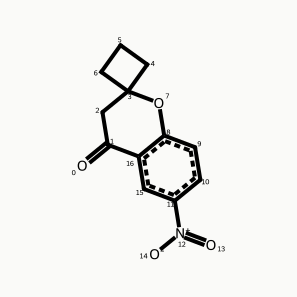 O=C1CC2(CCC2)Oc2ccc([N+](=O)[O-])cc21